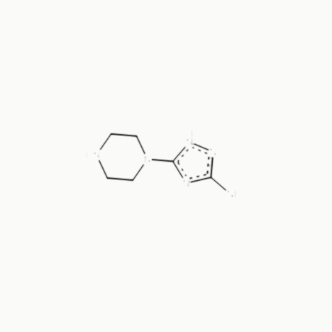 Nc1n[nH]c(N2CCNCC2)n1